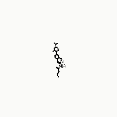 C=C(CCC)Nc1cc2ccc(-c3cnc(C(C)C)cc3C)cc2cn1